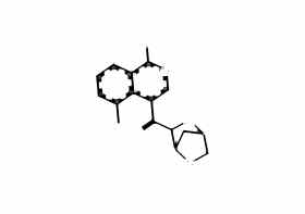 Cc1cccc2c(Cl)ncc(C(=O)C3OC4CNC3C4)c12